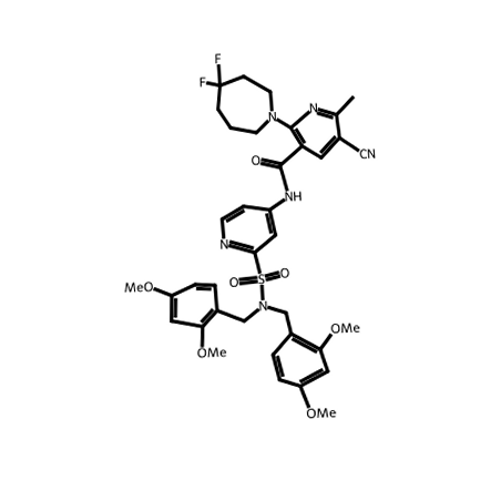 COc1ccc(CN(Cc2ccc(OC)cc2OC)S(=O)(=O)c2cc(NC(=O)c3cc(C#N)c(C)nc3N3CCCC(F)(F)CC3)ccn2)c(OC)c1